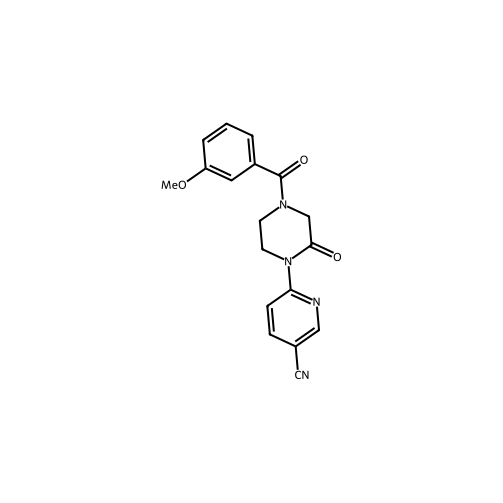 COc1cccc(C(=O)N2CCN(c3ccc(C#N)cn3)C(=O)C2)c1